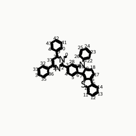 CN1C(c2ccc3c4c5sc6ccccc6c5ccc4n(-c4ccccc4)c3c2)=NC(c2ccccc2)=CC1c1ccccc1